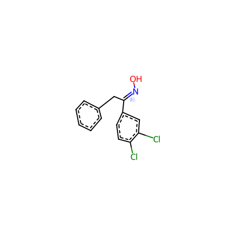 O/N=C(\Cc1ccccc1)c1ccc(Cl)c(Cl)c1